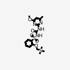 COc1cc(C)nc(NC(=O)NS(=O)(=O)c2ccccc2OC[Si](C)(C)C)n1